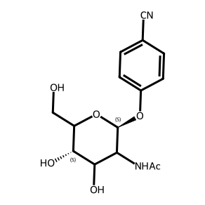 CC(=O)NC1C(O)[C@H](O)C(CO)O[C@H]1Oc1ccc(C#N)cc1